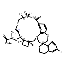 CC[C@@H]1CC/C=C/[C@H](O[C@@H](C)C(=O)OC)[C@@H]2CC[C@H]2CN2C[C@@]3(CCCc4cc(Cl)ccc43)COc3ccc(cc32)C(=O)NS1(=O)=O